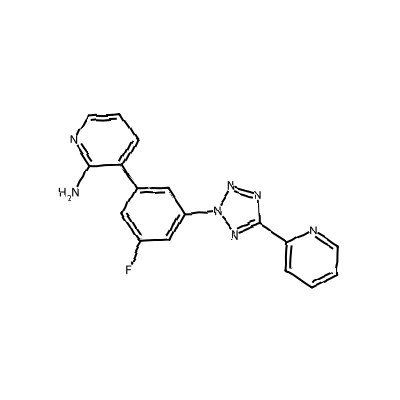 Nc1ncccc1-c1cc(F)cc(-n2nnc(-c3ccccn3)n2)c1